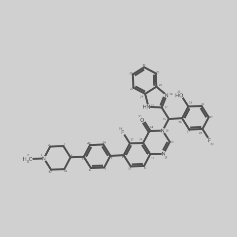 CN1CCC(c2ccc(-c3ccc4ncn(C(c5nc6ccccc6[nH]5)c5cc(F)ccc5O)c(=O)c4c3F)cc2)CC1